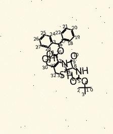 CC(C)(C)OC(=O)NC1C(=O)N2C(C(=O)OC(c3ccccc3)c3ccccc3)=C(CO)CS[C@@H]12